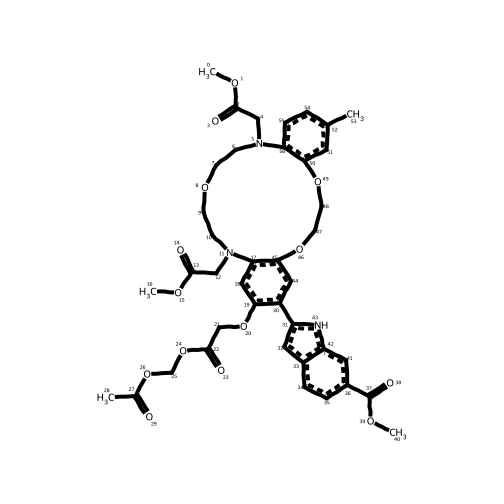 COC(=O)CN1CCOCCN(CC(=O)OC)c2cc(OCC(=O)OCOC(C)=O)c(-c3cc4ccc(C(=O)OC)cc4[nH]3)cc2OCCOc2cc(C)ccc21